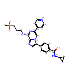 CS(=O)(=O)CCCNc1nc(-c2ccncc2)cn2c(-c3ccc(C(=O)NC4CC4)cc3)cnc12